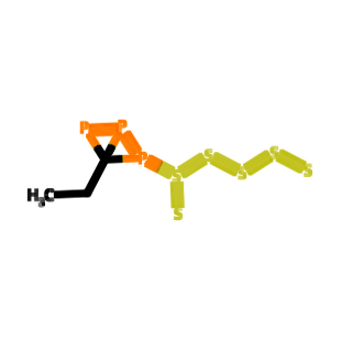 CCC12P=P1=P2=S(=S)=S=S=S=S